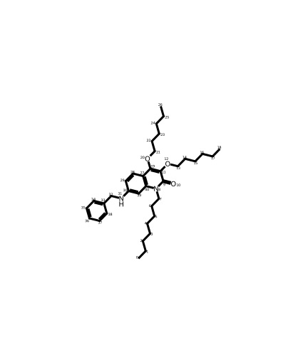 CCCCCCCCn1c(=O)c(OCCCCCC)c(OCCCCCC)c2ccc(NCc3ccccc3)cc21